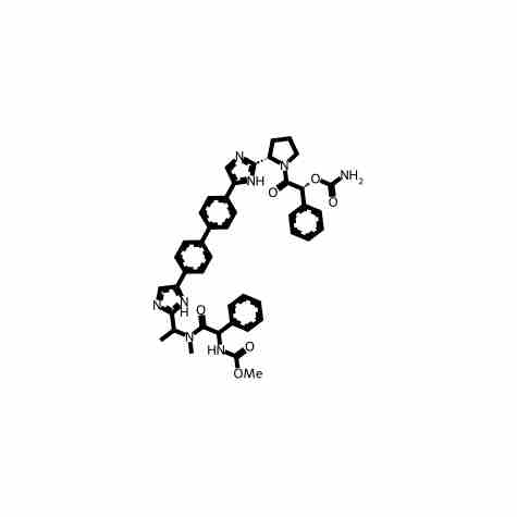 COC(=O)NC(C(=O)N(C)C(C)c1ncc(-c2ccc(-c3ccc(-c4cnc([C@@H]5CCCN5C(=O)[C@H](OC(N)=O)c5ccccc5)[nH]4)cc3)cc2)[nH]1)c1ccccc1